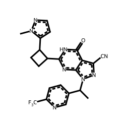 CC(c1ccc(C(F)(F)F)nc1)n1nc(C#N)c2c(=O)[nH]c(C3CCC3c3ccnn3C)nc21